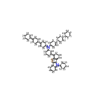 c1ccc(-c2ccc(-c3ccc(N(c4ccc(-c5ccc(-c6ccccc6)cc5)cc4)c4cccc(-c5cccc6c5sc5c7ccccc7n(-c7ccccc7)c65)c4)cc3)cc2)cc1